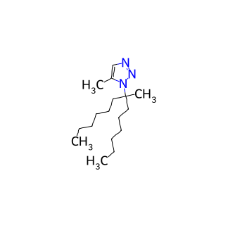 CCCCCCC(C)(CCCCCC)n1nncc1C